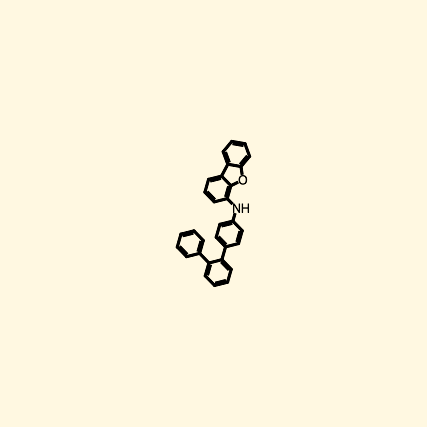 c1ccc(-c2ccccc2-c2ccc(Nc3cccc4c3oc3ccccc34)cc2)cc1